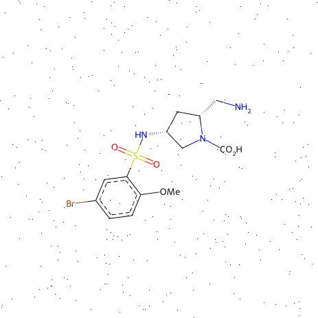 COc1ccc(Br)cc1S(=O)(=O)N[C@@H]1C[C@H](CN)N(C(=O)O)C1